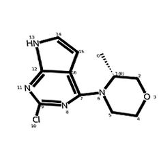 C[C@@H]1COCCN1c1nc(Cl)nc2[nH]ccc12